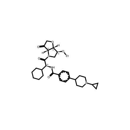 CCO[C@H]1CN(C(=O)[C@@H](NC(=O)c2ccc(C3CCN(C4CC4)CC3)cc2)C2CCCCC2)[C@@H]2C(=O)CO[C@H]12